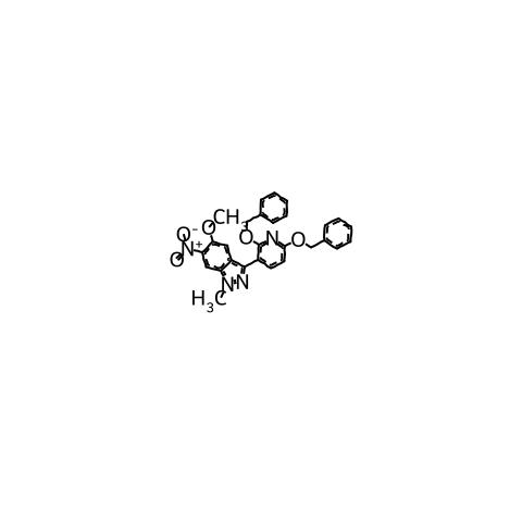 COc1cc2c(-c3ccc(OCc4ccccc4)nc3OCc3ccccc3)nn(C)c2cc1[N+](=O)[O-]